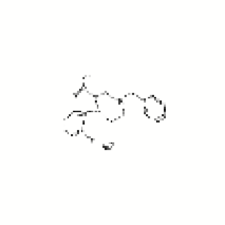 Cl.O=[N+]([O-])C1CN(Cc2ccccc2)CCC1c1ccccc1F